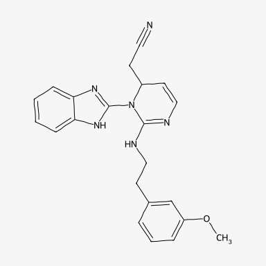 COc1cccc(CCNC2=NC=CC(CC#N)N2c2nc3ccccc3[nH]2)c1